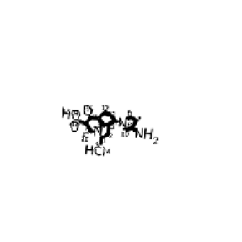 CC1Cc2c(N3CCC(N)C3)ccc3c(=O)c(C(=O)O)c(F)n1c23.Cl